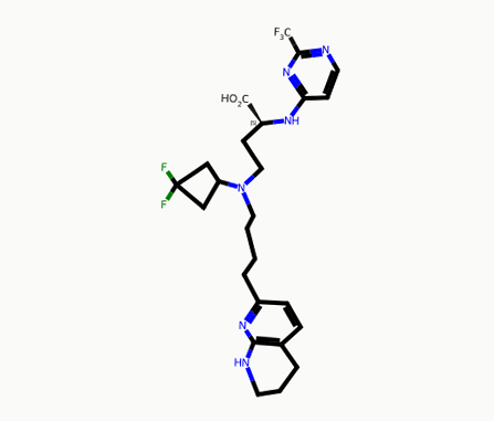 O=C(O)[C@H](CCN(CCCCc1ccc2c(n1)NCCC2)C1CC(F)(F)C1)Nc1ccnc(C(F)(F)F)n1